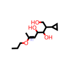 CCCO/C(C)=C/C(O)C(O)C(CO)C1CC1